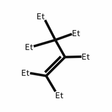 CCC(CC)=C(CC)C(CC)(CC)CC